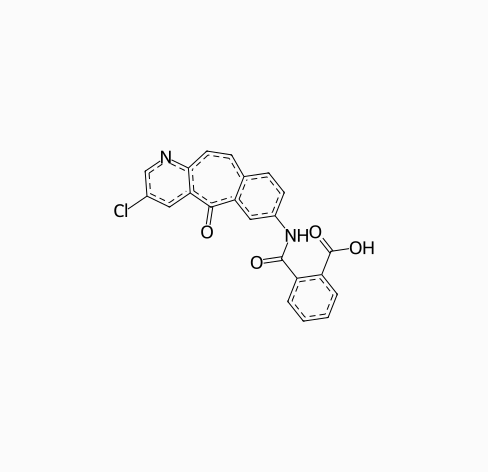 O=C(O)c1ccccc1C(=O)Nc1ccc2ccc3ncc(Cl)cc3c(=O)c2c1